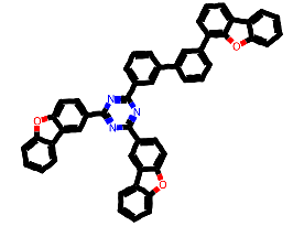 c1cc(-c2cccc(-c3cccc4c3oc3ccccc34)c2)cc(-c2nc(-c3ccc4oc5ccccc5c4c3)nc(-c3ccc4oc5ccccc5c4c3)n2)c1